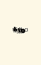 Cc1nnc(Sc2nc3ccc(Cl)cc3nc2C)s1